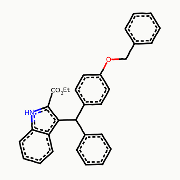 CCOC(=O)c1[nH]c2ccccc2c1C(c1ccccc1)c1ccc(OCc2ccccc2)cc1